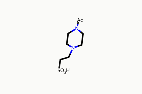 CC(=O)N1CCN(CCS(=O)(=O)O)CC1